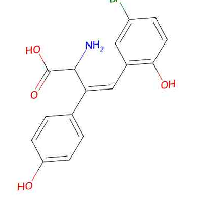 NC(C(=O)O)C(=Cc1cc(Br)ccc1O)c1ccc(O)cc1